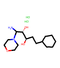 Cl.Cl.NC([C@H](O)[C@H](O)CCC1CCCCC1)N1CCOCC1